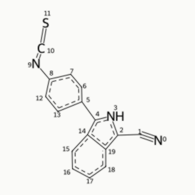 N#Cc1[nH]c(-c2ccc(N=C=S)cc2)c2ccccc12